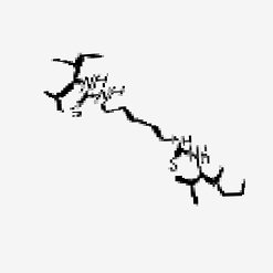 C=C(C)/C(NC(=S)NCCCCCNC(=S)NC(=C(C)C)/C(C)=C\C)=C(C)\C=C/C